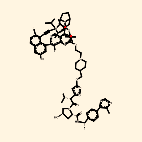 Cc1ncsc1-c1ccc([C@H](C)NC(=O)[C@@H]2C[C@@H](O)CN2C(=O)[C@@H](c2cc(OCC3CCN(CCOc4nc(N5CC6CCC(C5)N6C(=O)OC(C)(C)C)c5cnc(-c6cc(O)cc7ccc(F)c(C#C[Si](C(C)C)(C(C)C)C(C)C)c67)c(F)c5n4)CC3)no2)C(C)C)cc1